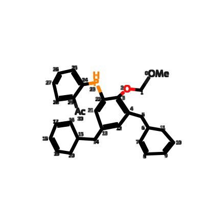 COCOc1c(CC2C=CC=CC2)cc(CC2C=CC=CC2)cc1Pc1ccccc1C(C)=O